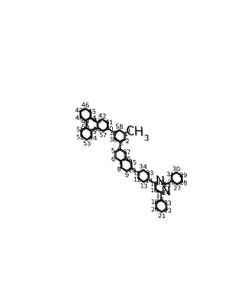 Cc1cc(-c2ccc3ccc(-c4ccc(-c5cc(-c6ccccc6)nc(-c6ccccc6)n5)cc4)cc3c2)cc(-c2ccc3c4ccccc4c4ccccc4c3c2)c1